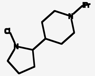 CC(C)N1CCC(C2CCCN2Cl)CC1